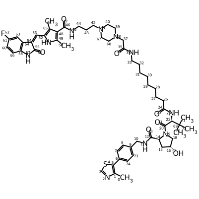 Cc1ncsc1-c1ccc(CNC(=O)[C@@H]2C[C@@H](O)CN2C(=O)[C@@H](NC(=O)CCCCCCCCNC(=O)CN2CCN(CCCNC(=O)c3c(C)[nH]c(/C=C4\C(=O)Nc5ccc(F)cc54)c3C)CC2)C(C)(C)C)cc1